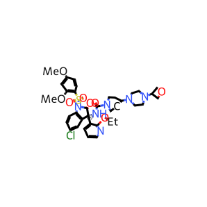 CCOc1ncccc1[C@]1(NC(=O)N2CCC(N3CCN(C4COC4)CC3)CC2)C(=O)N(S(=O)(=O)c2ccc(OC)cc2OC)c2ccc(Cl)cc21